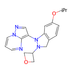 CC(C)Oc1ccc2c(c1)N(c1cnn3cccnc13)N(C1COC1)C2